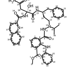 COC(=O)c1cccc(C(=O)NN(CC[C@H](Cc2ccccc2)NC(=O)[C@](O)(CC(N)=O)NC(=O)c2ccc3ccccc3n2)C(C)C)c1Nc1ccccn1